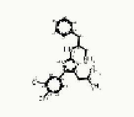 CC(C)Cc1sc(NC(CN)Cc2ccccc2)nc1-c1ccc(Cl)c(Cl)c1